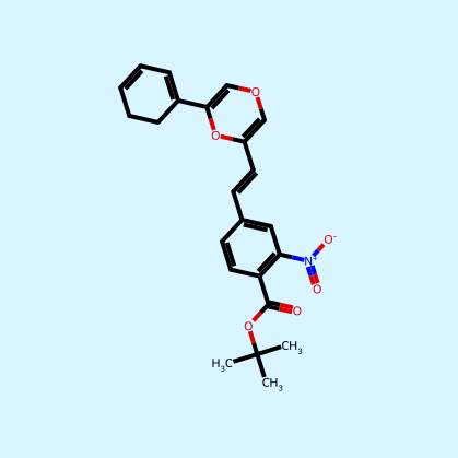 CC(C)(C)OC(=O)c1ccc(C=CC2=COC=C(C3=CC=CCC3)O2)cc1[N+](=O)[O-]